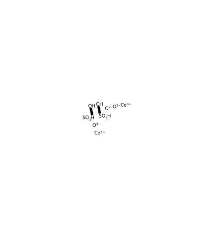 O=S(=O)(O)O.O=S(=O)(O)O.[Ce+3].[Ce+3].[O-2].[O-2].[O-2]